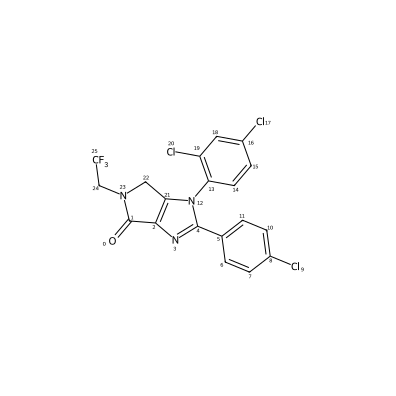 O=C1c2nc(-c3ccc(Cl)cc3)n(-c3ccc(Cl)cc3Cl)c2CN1CC(F)(F)F